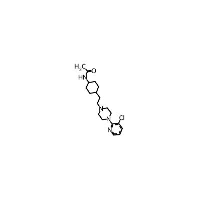 CC(=O)NC1CCC(CCN2CCN(c3ncccc3Cl)CC2)CC1